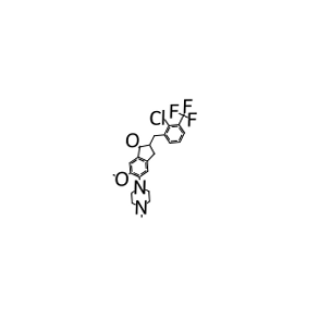 COc1cc2c(cc1N1CCN(C)CC1)CC(Cc1cccc(C(F)(F)F)c1Cl)C2=O